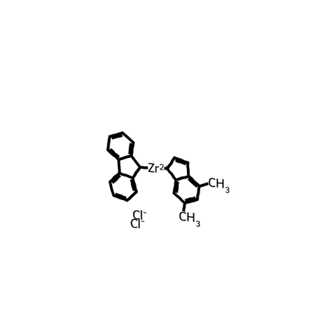 Cc1cc(C)c2c(c1)[CH]([Zr+2][CH]1c3ccccc3-c3ccccc31)C=C2.[Cl-].[Cl-]